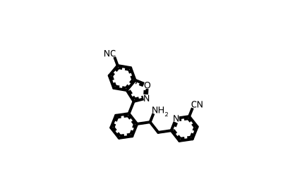 N#Cc1ccc2c(-c3ccccc3C(N)Cc3cccc(C#N)n3)noc2c1